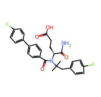 CC(C)(Cc1ccc(F)cc1)N(C(=O)c1ccc(-c2ccc(F)cc2)cc1)[C@@H](CCC(=O)O)C(N)=O